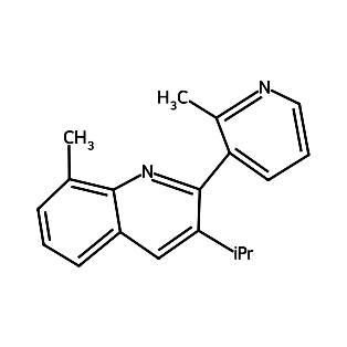 Cc1ncccc1-c1nc2c(C)cccc2cc1C(C)C